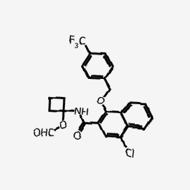 O=COC1(NC(=O)c2cc(Cl)c3ccccc3c2OCc2ccc(C(F)(F)F)cc2)CCC1